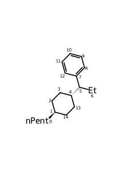 CCCCC[C@H]1CC[C@H](C(CC)c2ccccc2)CC1